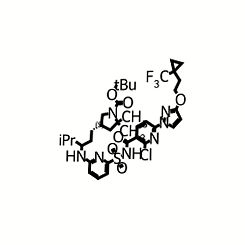 CC(C)C(CC[C@@H]1CN(C(=O)OC(C)(C)C)C(C)(C)C1)Nc1cccc(S(=O)(=O)NC(=O)c2ccc(-n3ccc(OCCC4(C(F)(F)F)CC4)n3)nc2Cl)n1